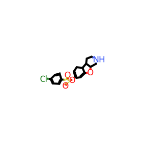 O=S(=O)(OC1=CCC2C(=C1)OC1CNCCC12)c1ccc(Cl)cc1